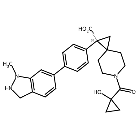 CN1NCc2ccc(-c3ccc([C@@]4(C(=O)O)CC45CCN(C(=O)C4(O)CC4)CC5)cc3)cc21